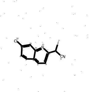 N#CC(I)c1ccc2ccc(Cl)cc2n1